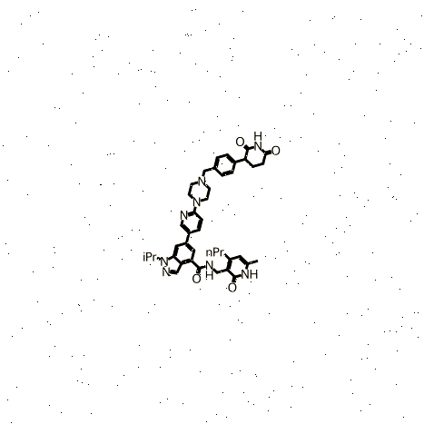 CCCc1cc(C)[nH]c(=O)c1CNC(=O)c1cc(-c2ccc(N3CCN(Cc4ccc(C5CCC(=O)NC5=O)cc4)CC3)nc2)cc2c1cnn2C(C)C